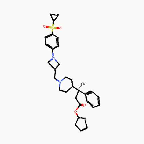 N#C[C@@](CC(=O)OC1CCCC1)(c1ccccc1)C1CCN(CC2CN(c3ccc(S(=O)(=O)C4CC4)cc3)C2)CC1